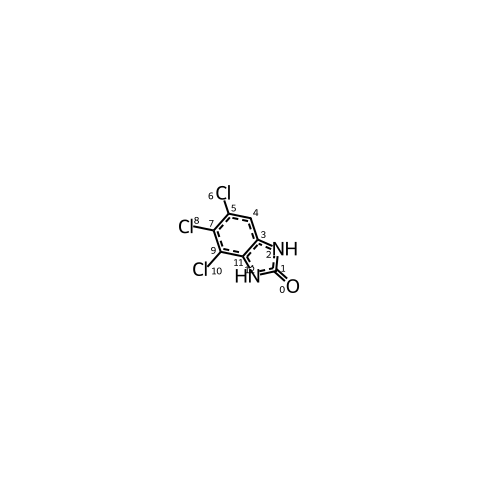 O=c1[nH]c2cc(Cl)c(Cl)c(Cl)c2[nH]1